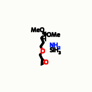 CO[SiH](CCCOCC1CO1)OC.N[SiH3]